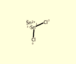 [Cl][Sn][Cl].[Sn+2]